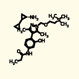 CCC(=O)Nc1ccc(-c2c(C)nn(COCC[Si](C)(C)C)c2C)c(O)c1.N[C@H]1CC1C1CC1